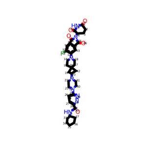 O=C1CCC(N2C(=O)c3cc(F)c(N4CCC5(CC4)CC(N4CCN(c6ccc(C(=O)NC7CCCCC7)nn6)CC4)C5)cc3C2=O)C(=O)N1